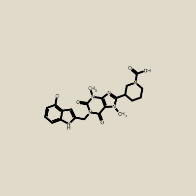 Cn1c(C2CCCN(C(=O)O)C2)nc2c1c(=O)n(Cc1cc3c(Cl)cccc3[nH]1)c(=O)n2C